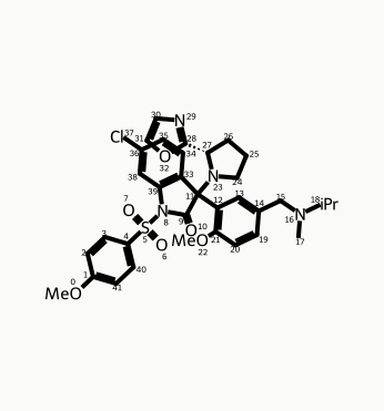 COc1ccc(S(=O)(=O)N2C(=O)C(c3cc(CN(C)C(C)C)ccc3OC)(N3CCC[C@H]3c3ncco3)c3ccc(Cl)cc32)cc1